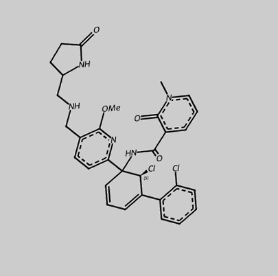 COc1nc(C2(NC(=O)c3cccn(C)c3=O)C=CC=C(c3ccccc3Cl)[C@@H]2Cl)ccc1CNCC1CCC(=O)N1